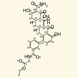 CCOC(=O)CNC(=O)c1cccc(-c2ccc(O)c3c2C[C@H]2C[C@H]4CC(O)=C(C(N)=O)C(=O)[C@@]4(O)C(O)=C2C3=O)c1